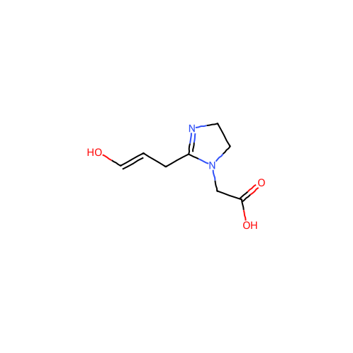 O=C(O)CN1CCN=C1CC=CO